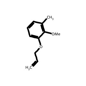 C=CCOc1cccc(C)c1OC